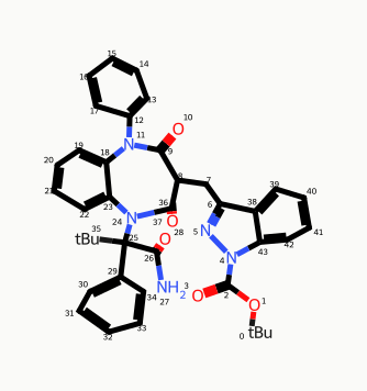 CC(C)(C)OC(=O)n1nc(CC2C(=O)N(c3ccccc3)c3ccccc3N(C(C(N)=O)(c3ccccc3)C(C)(C)C)C2=O)c2ccccc21